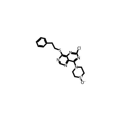 [O-][S+]1CCN(c2nc(Cl)nc3c(SCCc4ccccc4)ncnc23)CC1